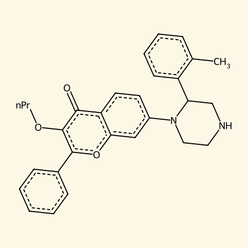 CCCOc1c(-c2ccccc2)oc2cc(N3CCNCC3c3ccccc3C)ccc2c1=O